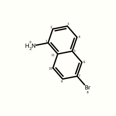 Nc1cccc2cc(Br)ccc12